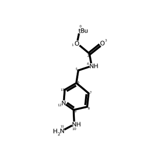 CC(C)(C)OC(=O)NCc1ccc(NN)nc1